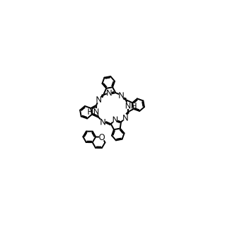 C1=Cc2ccccc2OC1.c1ccc2c(c1)-c1nc-2nc2[nH]c(nc3nc(nc4[nH]c(n1)c1ccccc41)-c1ccccc1-3)c1ccccc21